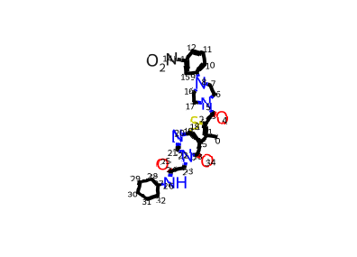 Cc1c(C(=O)N2CCN(c3cccc([N+](=O)[O-])c3)CC2)sc2ncn(CC(=O)NC3CCCCC3)c(=O)c12